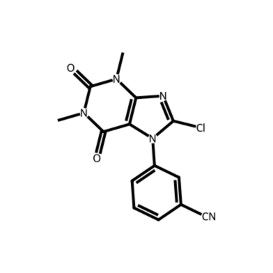 Cn1c(=O)c2c(nc(Cl)n2-c2cccc(C#N)c2)n(C)c1=O